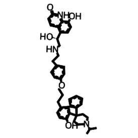 CC(C)N1CCC(c2ccccc2)(c2cc(CCCOc3ccc(CCNC[C@H](O)c4ccc(O)c5[nH]c(=O)ccc45)cc3)ccc2O)CC1